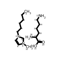 CCCCCCN1C=CN(C)C1.NCCCCC(N)C(=O)O